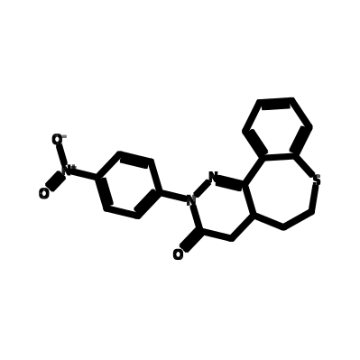 O=C1CC2CCSc3ccccc3C2=NN1c1ccc([N+](=O)[O-])cc1